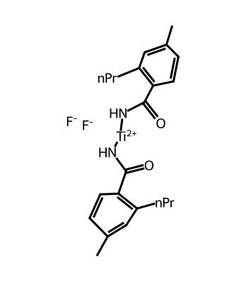 CCCc1cc(C)ccc1C(=O)[NH][Ti+2][NH]C(=O)c1ccc(C)cc1CCC.[F-].[F-]